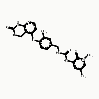 Cc1cc(CNC(=O)Nc2cc(C(F)(F)F)cn(C)c2=O)ccc1Oc1ccnc2c1CNC(=O)N2